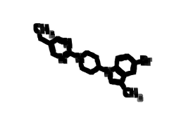 CCc1cnc(N2CCC(n3cc(C)c4cc(Br)ccc43)CC2)nc1